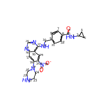 O=C(NC1CC1)c1ccc(CNc2ncnc3cc(N4CCNCC4)c([N+](=O)[O-])cc23)cc1